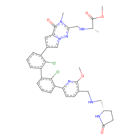 COC(=O)[C@H](C)NCc1nn2cc(-c3cccc(-c4cccc(-c5ccc(CNC[C@@H]6CCC(=O)N6)c(OC)n5)c4Cl)c3Cl)cc2c(=O)n1C